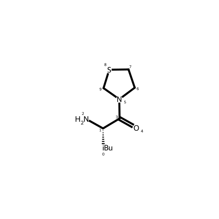 CCC(C)[C@H](N)C(=O)N1CCSC1